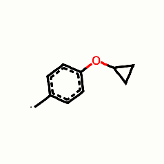 [CH2]c1ccc(OC2CC2)cc1